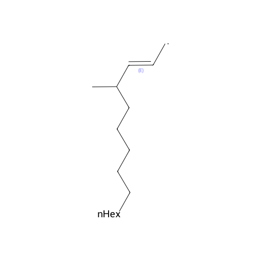 [CH2]/C=C/C(C)CCCCCCCCCC[CH2]